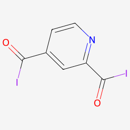 O=C(I)c1ccnc(C(=O)I)c1